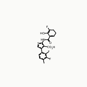 Cc1ccc(-c2csc(NC(=O)C3=CCCC(F)=C3O)c2C(=O)O)c(F)c1F